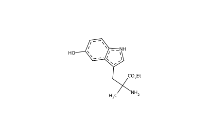 CCOC(=O)C(C)(N)Cc1c[nH]c2ccc(O)cc12